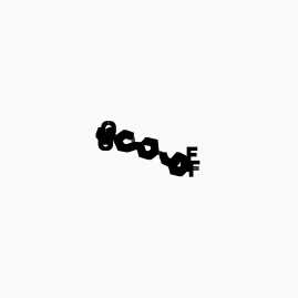 Fc1ccc(CC[C@H]2CC[C@H]([C@H]3CC[C@H](C4OCCO4)CC3)CC2)cc1F